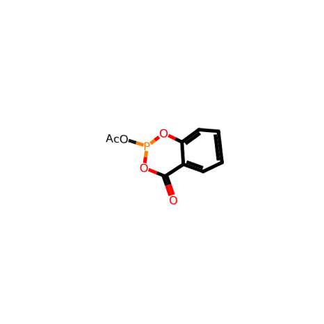 CC(=O)OP1OC(=O)c2ccccc2O1